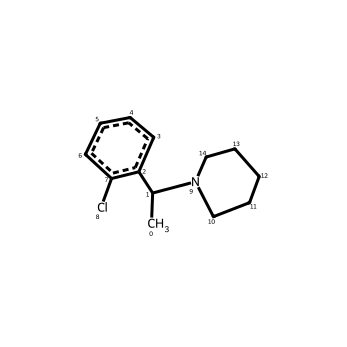 CC(c1ccccc1Cl)N1CCCCC1